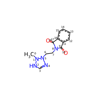 CN1NC=NN1CCN1C(=O)c2ccccc2C1=O